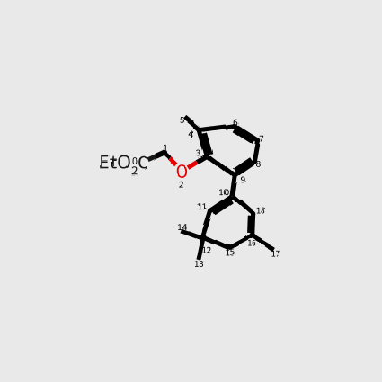 CCOC(=O)COc1c(C)cccc1C1=CC(C)(C)CC(C)=C1